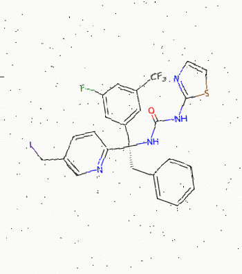 O=C(Nc1nccs1)N[C@](Cc1ccccc1)(c1cc(F)cc(C(F)(F)F)c1)c1ccc(CI)cn1